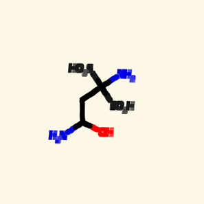 NC(O)CC(N)(S(=O)(=O)O)S(=O)(=O)O